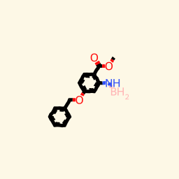 BNc1cc(OCc2ccccc2)ccc1C(=O)OC